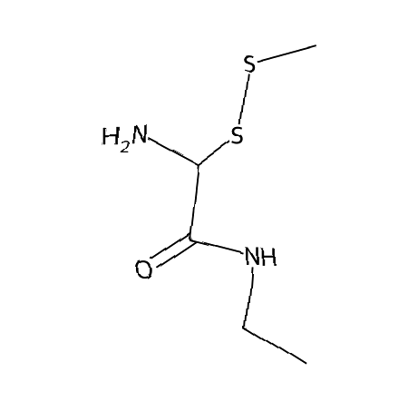 CCNC(=O)C(N)SSC